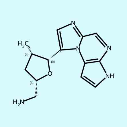 C[C@H]1C[C@@H](CN)O[C@H]1c1cnc2cnc3[nH]ccc3n12